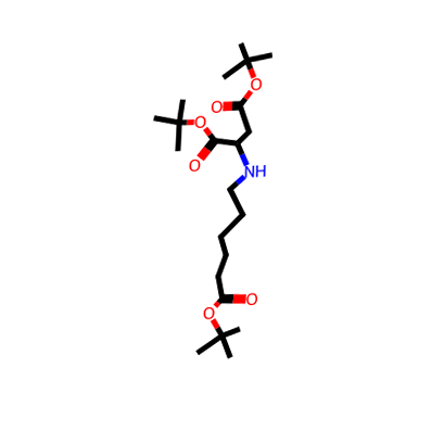 CC(C)(C)OC(=O)CCCCCNC(CC(=O)OC(C)(C)C)C(=O)OC(C)(C)C